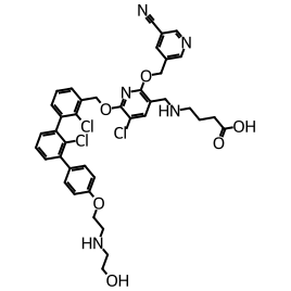 N#Cc1cncc(COc2nc(OCc3cccc(-c4cccc(-c5ccc(OCCNCCO)cc5)c4Cl)c3Cl)c(Cl)cc2CNCCCC(=O)O)c1